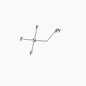 CC(C)C[Si](F)(F)F